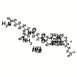 CC(C)CCC[C@@H](C)[C@H]1CC[C@H]2[C@@H]3CC=C4C[C@@H](OC(=O)CCCC(=O)N(CCCCCCCC(C)N)CCC(C)N)CC[C@]4(C)[C@H]3CC[C@]12C.Cl.Cl